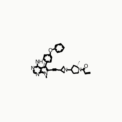 C=CC(=O)N1CCC(N2CC(C#Cc3c(-c4ccc(Oc5ccccc5)cc4)c4c(N)ncnc4n3C)C2)C[C@@H]1C